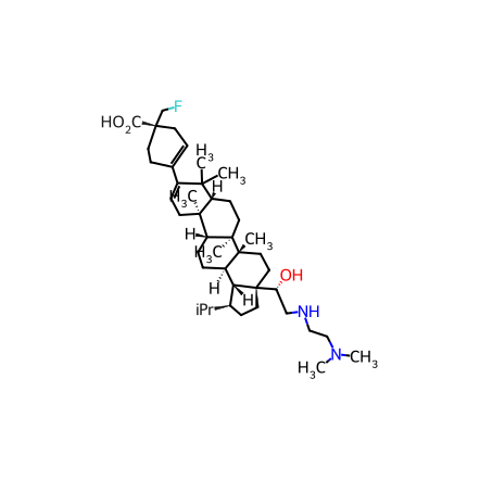 CC(C)[C@@H]1CC[C@]2([C@H](O)CNCCN(C)C)CC[C@]3(C)[C@H](CC[C@@H]4[C@@]5(C)CC=C(C6=CC[C@](CF)(C(=O)O)CC6)C(C)(C)[C@@H]5CC[C@]43C)[C@@H]12